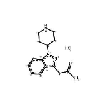 Cl.NC(=O)Cc1nn(C2CCNCC2)c2ccccc12